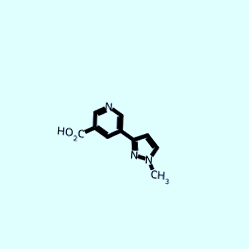 Cn1ccc(-c2cncc(C(=O)O)c2)n1